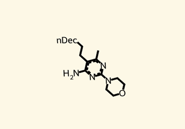 CCCCCCCCCCCCc1c(C)nc(N2CCOCC2)nc1N